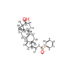 CC(C[S+]([O-])c1ccccc1)[C@H]1CC=C2C3=C(CC[C@@]21C)[C@@]1(C)CC[C@H](O)C(C)(C)[C@@H]1CC3